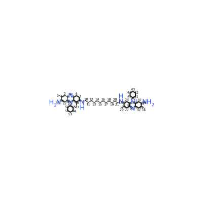 CC1=CC2=Nc3ccc(NCCCCCCCCCCCCNc4cc5c(cc4C)nc4cc(C)c(N)cc4[n+]5-c4ccccc4)c(C)c3N(c3ccccc3)C2C=C1N